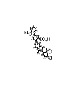 CCOc1ncccc1-c1ccc(N2CCN3C(=O)N(c4ccc(Cl)cc4C(F)(F)F)CC3C2)c(C(=O)O)n1